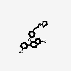 COc1cccc(-c2ccc3cc(OC)ccc3c2Oc2ccc(CCCN3CCCC3)cc2)c1